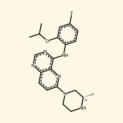 CC(C)Oc1cc(F)ccc1Nc1ncnc2ccc(N3CCN[C@@H](C)C3)nc12